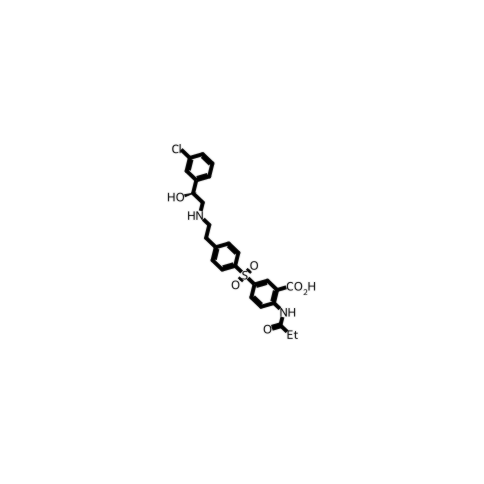 CCC(=O)Nc1ccc(S(=O)(=O)c2ccc(CCNC[C@@H](O)c3cccc(Cl)c3)cc2)cc1C(=O)O